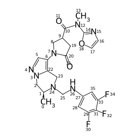 C[C@H]1Cn2ncc(N3CC(C(=O)N(C)c4ncco4)CC3=O)c2CN1CNc1cc(F)c(F)c(F)c1